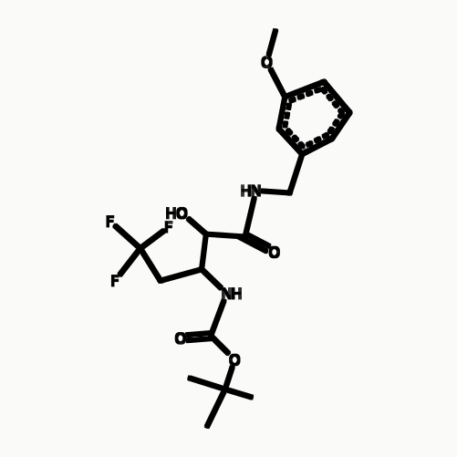 COc1cccc(CNC(=O)C(O)C(CC(F)(F)F)NC(=O)OC(C)(C)C)c1